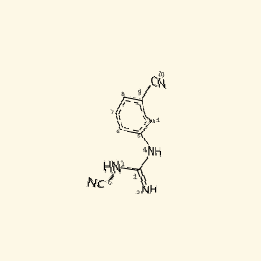 N#CNC(=N)Nc1cccc(C#N)c1